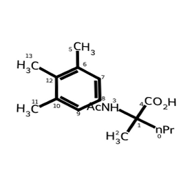 CCCC(C)(NC(C)=O)C(=O)O.Cc1cccc(C)c1C